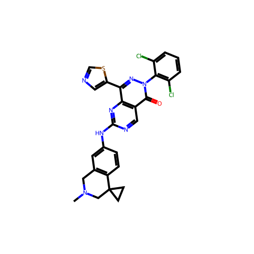 CN1Cc2cc(Nc3ncc4c(=O)n(-c5c(Cl)cccc5Cl)nc(-c5cncs5)c4n3)ccc2C2(CC2)C1